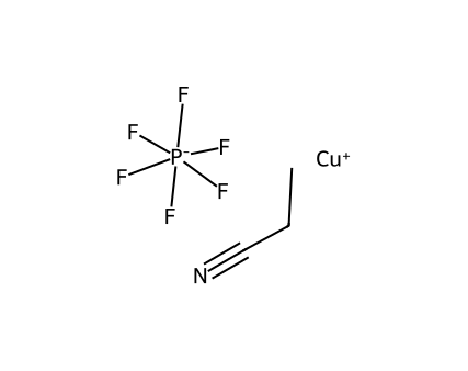 CCC#N.F[P-](F)(F)(F)(F)F.[Cu+]